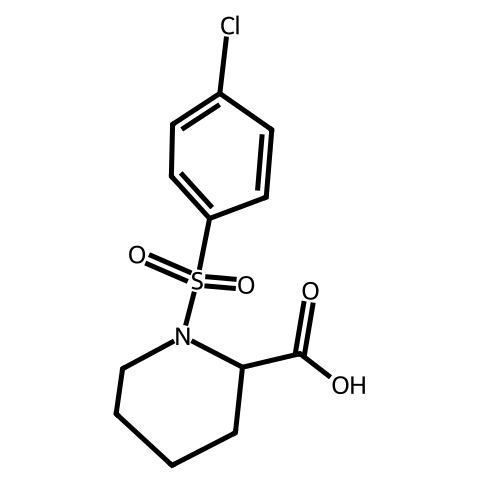 O=C(O)C1CCCCN1S(=O)(=O)c1ccc(Cl)cc1